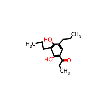 CCCc1cc(C(=O)CC)c(O)c(CCC)c1O